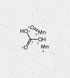 O=C(O)O.[Mn].[O]=[Mn]